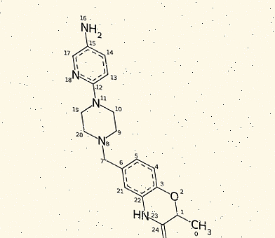 CC1Oc2ccc(CN3CCN(c4ccc(N)cn4)CC3)cc2NC1=O